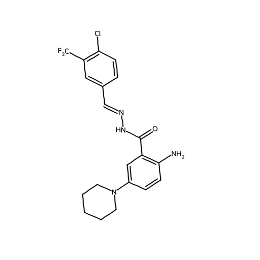 Nc1ccc(N2CCCCC2)cc1C(=O)NN=Cc1ccc(Cl)c(C(F)(F)F)c1